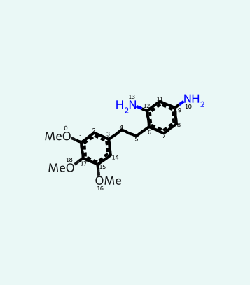 COc1cc(CCc2ccc(N)cc2N)cc(OC)c1OC